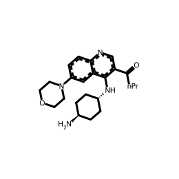 CCCC(=O)c1cnc2ccc(N3CCOCC3)cc2c1N[C@H]1CC[C@H](N)CC1